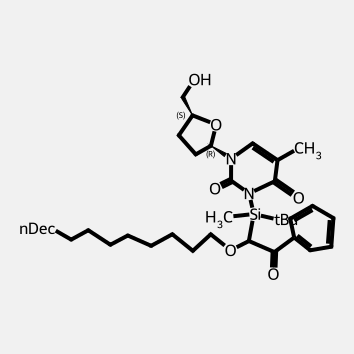 CCCCCCCCCCCCCCCCCCOC(C(=O)c1ccccc1)[Si](C)(n1c(=O)c(C)cn([C@H]2CC[C@@H](CO)O2)c1=O)C(C)(C)C